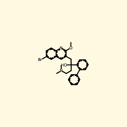 COc1nc2ccc(Br)cc2cc1CC(O)(CCN(C)C)c1ccccc1-c1ccccc1